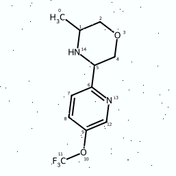 CC1COCC(c2ccc(OC(F)(F)F)cn2)N1